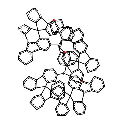 C=C/C=C\c1c(Cc2ccc3c(c2)-c2ccccc2C32c3ccccc3-n3c4ccccc4c4cc(N(c5ccc6c(c5)C5(c7ccccc7-c7ccccc75)c5ccccc5-6)c5cccc6ccccc56)cc2c43)cccc1-c1ccc(N(c2ccc3c(c2)C2(c4ccccc4-c4ccccc42)c2ccccc2-3)c2cc3c4c(c2)c2ccccc2n4-c2ccccc2C32c3ccccc3-c3ccccc32)cc1